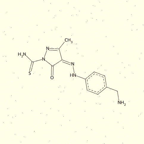 CC1=NN(C(N)=S)C(=O)C1=NNc1ccc(CN)cc1